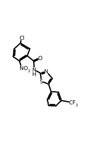 O=C(Nc1ncc(-c2cccc(C(F)(F)F)c2)s1)c1cc(Cl)ccc1[N+](=O)[O-]